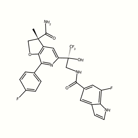 C[C@]1(C(N)=O)COc2c1cc([C@@](O)(CNC(=O)c1cc(F)c3[nH]ccc3c1)C(F)(F)F)nc2-c1ccc(F)cc1